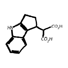 O=C(O)C(C(=O)O)C1CCc2[nH]c3ccccc3c21